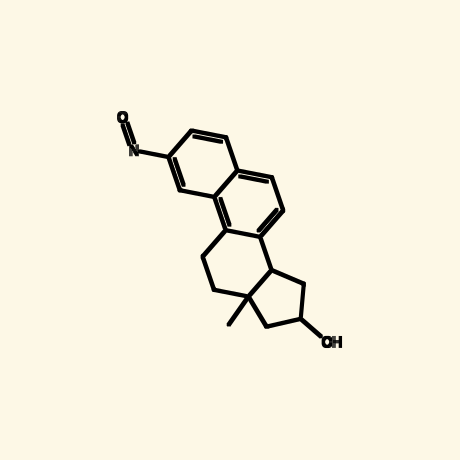 CC12CCc3c(ccc4ccc(N=O)cc34)C1CC(O)C2